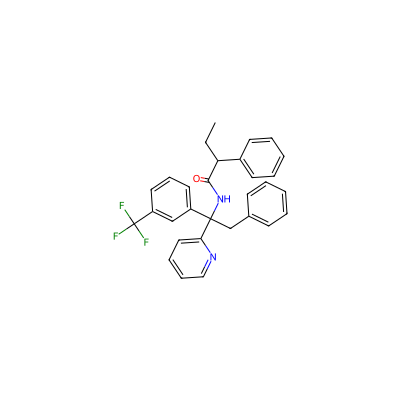 CCC(C(=O)NC(Cc1ccccc1)(c1cccc(C(F)(F)F)c1)c1ccccn1)c1ccccc1